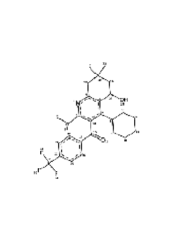 CC(C)c1nc2c(c(C3CCCCC3)c1C(=O)c1ccc(C(F)(F)F)cc1)C(O)CC(C)(C)C2